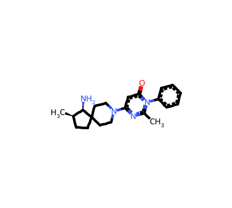 Cc1nc(N2CCC3(CC[C@@H](C)[C@H]3N)CC2)cc(=O)n1-c1ccccc1